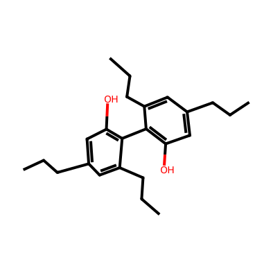 CCCc1cc(O)c(-c2c(O)cc(CCC)cc2CCC)c(CCC)c1